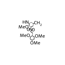 C=C1C=C(S(=O)(=O)C=Cc2c(OC)cc(OC)cc2OC)C(OC)=C([NH])C1